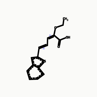 CCO/C(=C/C=C/c1cc2ccccc2s1)C(=O)O